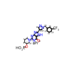 CCCn1c(N2CCCC(OC(=O)O)C2)nc2nc(-c3cnn(Cc4cccc(C(F)(F)F)c4)c3)[nH]c2c1=O